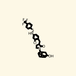 O=C1C(Cc2ccc(NSc3ccc(C(F)(F)F)cc3)cc2Cl)CCN1C1C2CC3CC1CC(O)(C3)C2